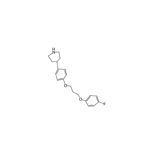 Fc1ccc(OCCCOc2ccc(C3CCNCC3)cc2)cc1